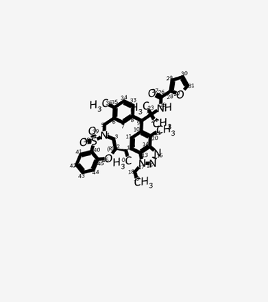 CC[C@@H]1CN(Cc2cc(C(c3ccc4c(nnn4CC)c3C)C(C)(C)NC(=O)c3ccco3)ccc2C)S(=O)(=O)c2ccccc2O1